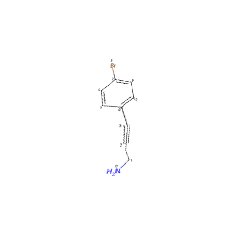 NCC#Cc1ccc(Br)cc1